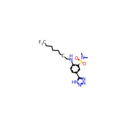 CN(C)S(=O)(=O)c1cc(-c2nnn[nH]2)ccc1NCCCCCCCC(F)(F)F